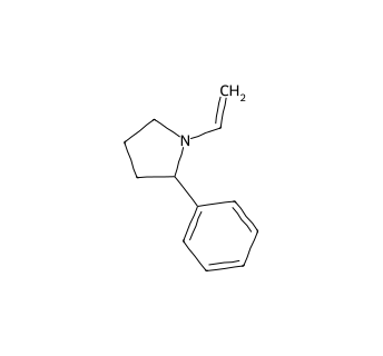 C=CN1CCCC1c1ccccc1